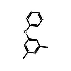 Cc1cc(C)cc(Oc2c[c]ccc2)c1